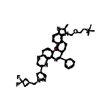 Cc1nc2ccc(Oc3ccc4ncc(-c5cnn(CC6CC(F)(F)C6)c5)nc4c3N=C(c3ccccc3)c3ccccc3)cc2n1COCC[Si](C)(C)C